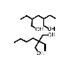 CCC(CO)CC(CC)CO.CCCCC(CC)(CO)CO